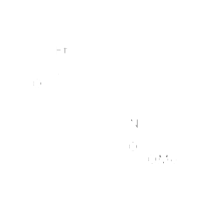 CCC(=O)C1=CCC(=NOOC)C=C1